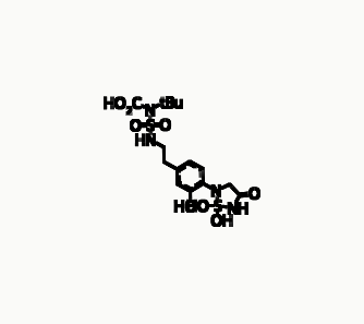 CC(C)(C)N(C(=O)O)S(=O)(=O)NCCc1ccc(N2CC(=O)NS2(O)O)c(O)c1